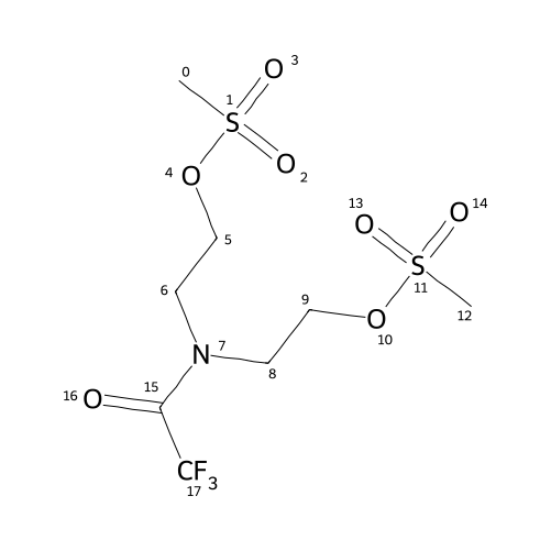 CS(=O)(=O)OCCN(CCOS(C)(=O)=O)C(=O)C(F)(F)F